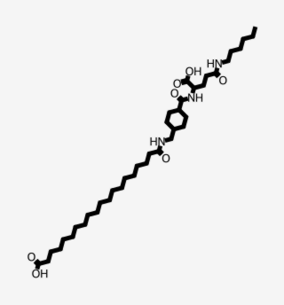 CCCCCCNC(=O)CCC(NC(=O)C1CCC(CNC(=O)CCCCCCCCCCCCCCCCCCC(=O)O)CC1)C(=O)O